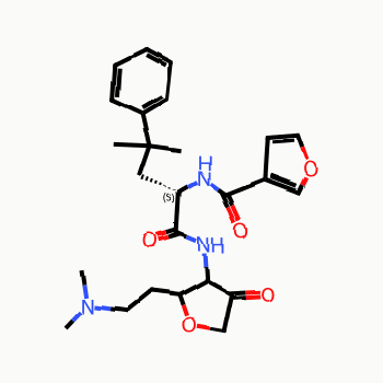 CN(C)CCC1OCC(=O)C1NC(=O)[C@H](CC(C)(C)c1ccccc1)NC(=O)c1ccoc1